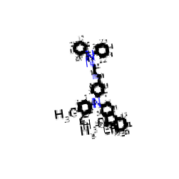 Cc1ccc(N(c2ccc(/C=C/C=N/N(c3ccccc3)c3ccccc3)cc2)c2ccc3c(c2)C(C)(C)c2ccccc2-3)cc1C